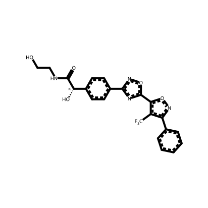 O=C(NCCO)[C@@H](O)c1ccc(-c2noc(-c3onc(-c4ccccc4)c3C(F)(F)F)n2)cc1